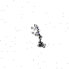 CC/C=C(\C)CC/C=C(\C)CNC(=O)CCCC[C@@H]1SC[C@@H]2NC(=O)N[C@@H]21